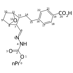 CCCOC(=O)N/N=C/C1C2CCC(O2)C1CCc1ccc(C(=O)O)cc1